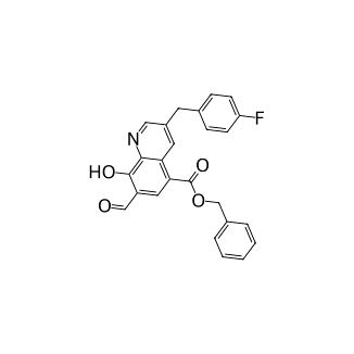 O=Cc1cc(C(=O)OCc2ccccc2)c2cc(Cc3ccc(F)cc3)cnc2c1O